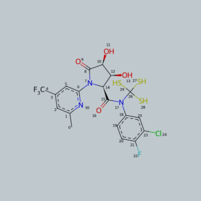 Cc1cc(C(F)(F)F)cc(N2C(=O)[C@@H](O)[C@@H](O)[C@H]2C(=O)N(c2ccc(F)c(Cl)c2)C(S)(S)S)n1